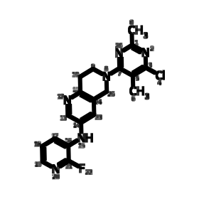 Cc1nc(Cl)c(C)c(N2CCc3ncc(Nc4cccnc4F)cc3C2)n1